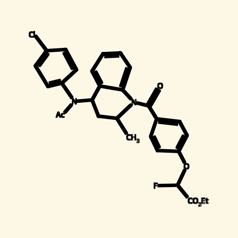 CCOC(=O)C(F)Oc1ccc(C(=O)N2c3ccccc3C(N(C(C)=O)c3ccc(Cl)cc3)CC2C)cc1